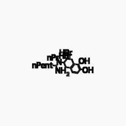 Br.Br.CCCCCC(N)N(CCC)C1CCc2c(ccc(O)c2O)C1